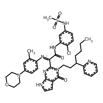 CCCCC(CCn1c(/C(=N\c2ccc(N3CCOCC3)cc2C)C(=O)Nc2cc(NS(C)(=O)=O)ccc2Cl)nc2[nH]ccc2c1=O)c1ccccn1